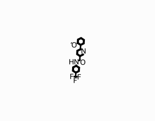 COc1ccccc1-c1ccc(C(=O)Nc2ccc(C(F)(F)F)cc2)cn1